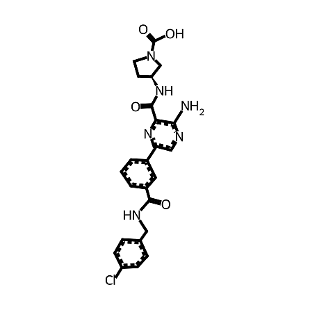 Nc1ncc(-c2cccc(C(=O)NCc3ccc(Cl)cc3)c2)nc1C(=O)N[C@H]1CCN(C(=O)O)C1